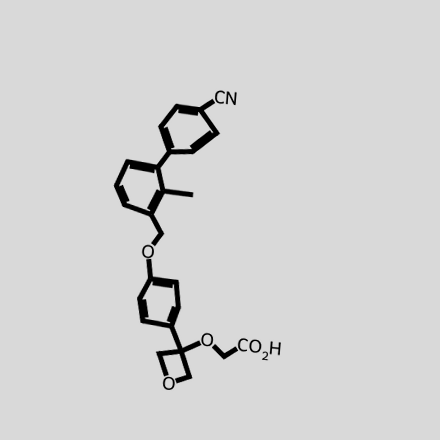 Cc1c(COc2ccc(C3(OCC(=O)O)COC3)cc2)cccc1-c1ccc(C#N)cc1